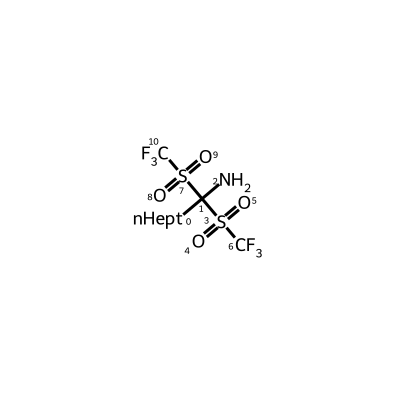 CCCCCCCC(N)(S(=O)(=O)C(F)(F)F)S(=O)(=O)C(F)(F)F